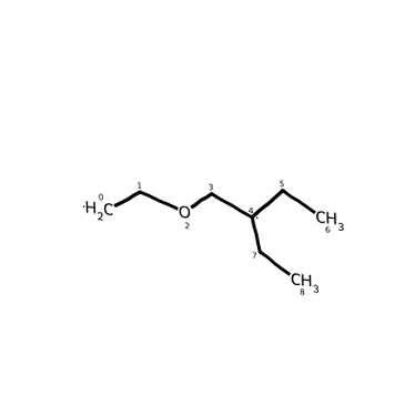 [CH2]COC[C](CC)CC